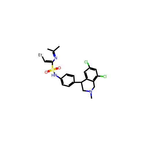 CC/C=C(\N=C(C)C)S(=O)(=O)Nc1ccc(C2CN(C)Cc3c(Cl)cc(Cl)cc32)cc1